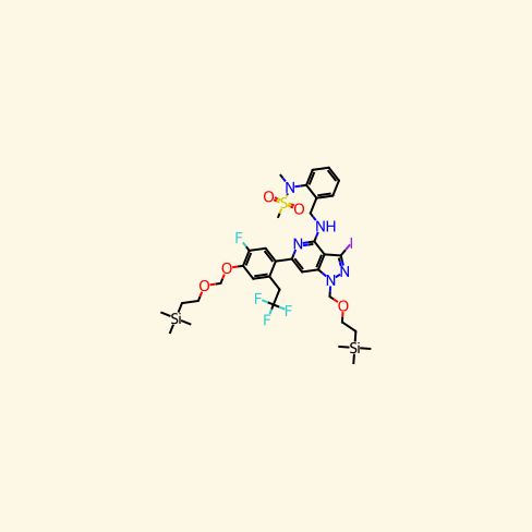 CN(c1ccccc1CNc1nc(-c2cc(F)c(OCOCC[Si](C)(C)C)cc2CC(F)(F)F)cc2c1c(I)nn2COCC[Si](C)(C)C)S(C)(=O)=O